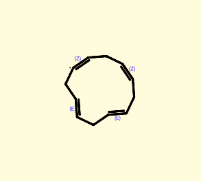 [C]1=C\C/C=C\C/C=C/C/C=C/C/1